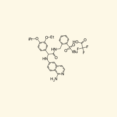 CCOc1cc(C(Nc2ccc3c(N)nccc3c2)C(=O)NCc2ccccc2S(=O)(=O)C(C)(C)C)ccc1OC(C)C.O=C(O)C(F)(F)F